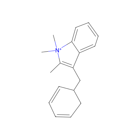 CC1=C(CC2C=CC=CC2)c2ccccc2[N+]1(C)C